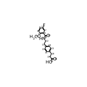 COc1ccc(F)cc1C(=O)NCCc1ccc(CCC(=O)O)cc1